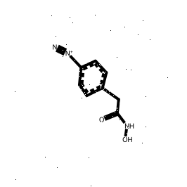 N#[N+]c1ccc(CC(=O)NO)cc1